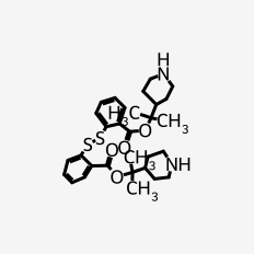 CC(C)(OC(=O)c1ccccc1SSc1ccccc1C(=O)OC(C)(C)C1CCNCC1)C1CCNCC1